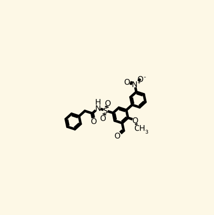 COc1c(C=O)cc(S(=O)(=O)NC(=O)Cc2ccccc2)cc1-c1cccc([N+](=O)[O-])c1